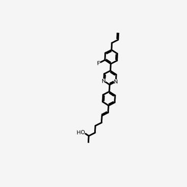 C=CCc1ccc(-c2cnc(-c3ccc(C=CCCCC(C)O)cc3)nc2)c(F)c1